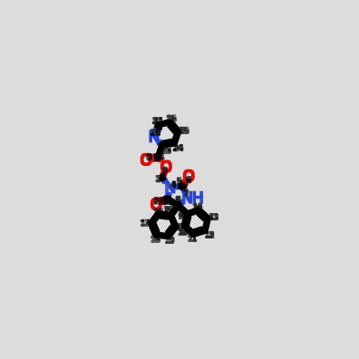 O=C(OCN1C(=O)NC(c2ccccc2)(c2ccccc2)C1=O)c1ccccn1